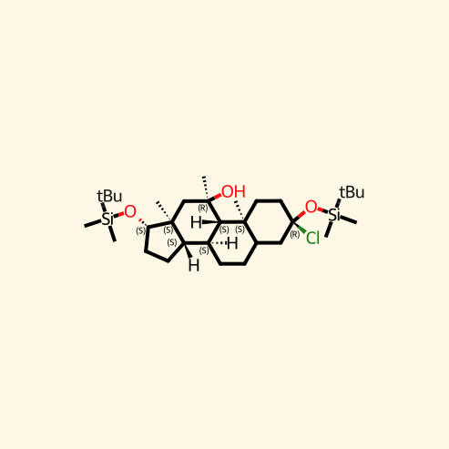 CC(C)(C)[Si](C)(C)O[C@H]1CC[C@H]2[C@@H]3CCC4C[C@@](Cl)(O[Si](C)(C)C(C)(C)C)CC[C@]4(C)[C@H]3[C@](C)(O)C[C@]12C